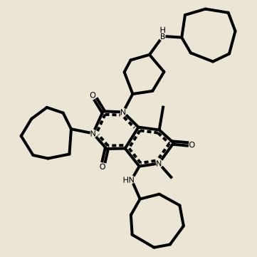 Cc1c(=O)n(C)c(NC2CCCCCCC2)c2c(=O)n(C3CCCCCCC3)c(=O)n(C3CCC(BC4CCCCCCC4)CC3)c12